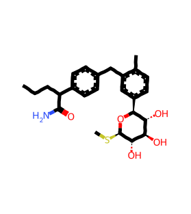 CCCC(C(N)=O)c1ccc(Cc2cc([C@@H]3O[C@H](SC)[C@@H](O)[C@H](O)[C@H]3O)ccc2C)cc1